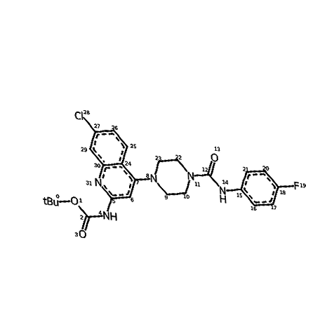 CC(C)(C)OC(=O)Nc1cc(N2CCN(C(=O)Nc3ccc(F)cc3)CC2)c2ccc(Cl)cc2n1